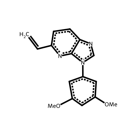 C=Cc1ccc2ncn(-c3cc(OC)cc(OC)c3)c2n1